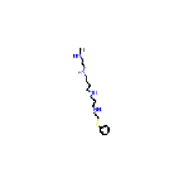 CCNCCCNCCCCNCCCNCCSc1ccccc1